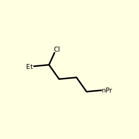 CCCCCCC(Cl)CC